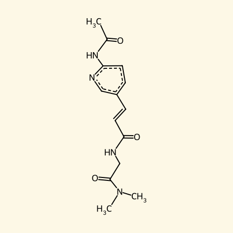 CC(=O)Nc1ccc(/C=C/C(=O)NCC(=O)N(C)C)cn1